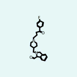 O=CC1c2ccccc2CN1CC1CCN(CCCC(=O)c2ccc(F)cc2)CC1